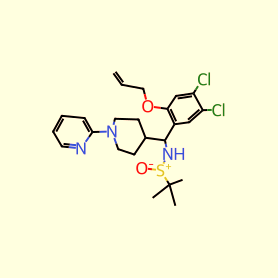 C=CCOc1cc(Cl)c(Cl)cc1C(N[S+]([O-])C(C)(C)C)C1CCN(c2ccccn2)CC1